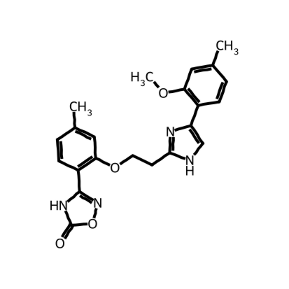 COc1cc(C)ccc1-c1c[nH]c(CCOc2cc(C)ccc2-c2noc(=O)[nH]2)n1